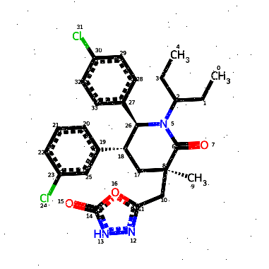 CCC(CC)N1C(=O)[C@@](C)(Cc2n[nH]c(=O)o2)C[C@H](c2cccc(Cl)c2)[C@H]1c1ccc(Cl)cc1